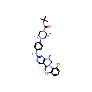 C[C@@H]1CN(c2ccc(Nc3ncc4c(n3)N(C)CN(c3c(Cl)cccc3Cl)C4=O)cc2)[C@H](C)CN1C(=O)OC(C)(C)C